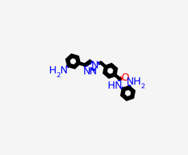 Nc1cccc(-c2cn(Cc3ccc(C(=O)Nc4ccccc4N)cc3)nn2)c1